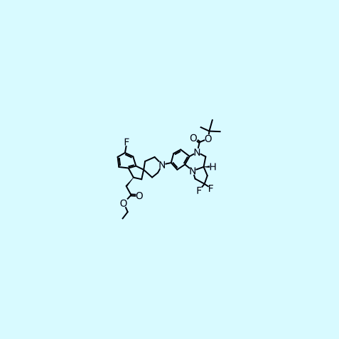 CCOC(=O)C[C@@H]1CC2(CCN(c3ccc4c(c3)N3CC(F)(F)C[C@H]3CN4C(=O)OC(C)(C)C)CC2)c2cc(F)ccc21